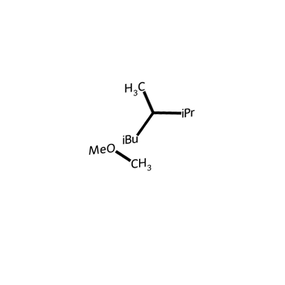 CCC(C)C(C)C(C)C.COC